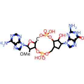 COC1C2OP(=O)(O)OCC3CC(n4cnc5c(=O)[nH]c(N)nc54)C(O)C3OP(=O)(O)OCC2OC1n1cnc2c(N)ncnc21